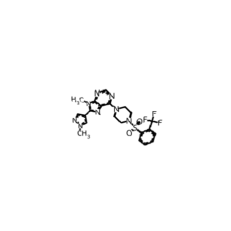 Cn1cc(-c2nc3c(N4CCN(S(=O)(=O)c5ccccc5C(F)(F)F)CC4)ncnc3n2C)cn1